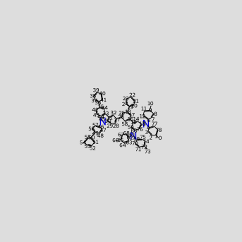 Cc1ccc(N(c2ccc(C)cc2)c2cc(-c3cc(-c4ccccc4)cc(-c4ccc5c(c4)c4cc(-c6ccccc6)ccc4n5-c4ccc(-c5ccccc5)cc4)c3)cc(N(c3ccc(C)cc3)c3ccc(C)cc3)c2)cc1